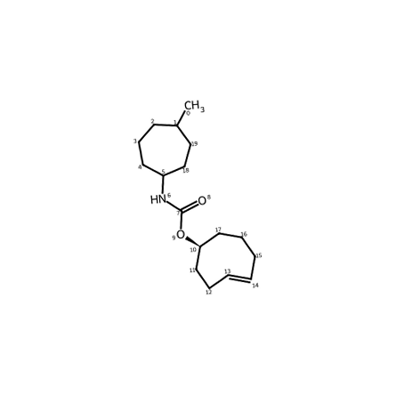 CC1CCCC(NC(=O)O[C@@H]2CC/C=C/CCC2)CC1